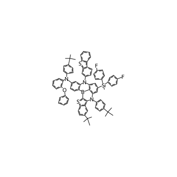 CC(C)(C)c1ccc(N(c2ccc3c(c2)N(c2ccc4c(c2)sc2ccccc24)c2cc([Si](C)(c4ccc(F)cc4)c4ccc(F)cc4)cc4c2B3c2sc3ccc(C(C)(C)C)cc3c2N4c2ccc(C(C)(C)C)cc2)c2ccccc2Oc2ccccc2)cc1